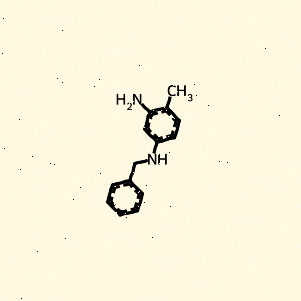 Cc1ccc(NCc2ccccc2)cc1N